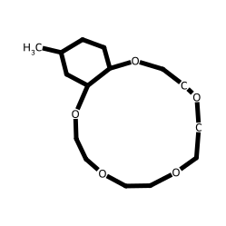 CC1CCC2OCCOCCOCCOCCOC2C1